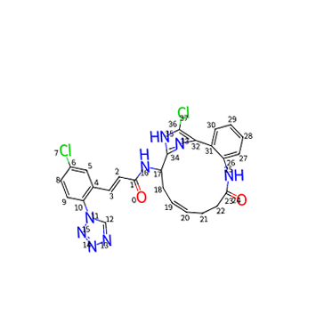 O=C(C=Cc1cc(Cl)ccc1-n1cnnn1)NC1CC=CCCC(=O)Nc2ccccc2-c2nc1[nH]c2Cl